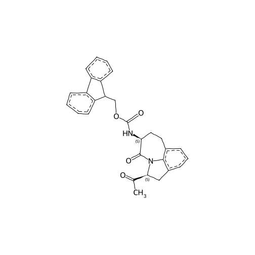 CC(=O)[C@@H]1Cc2cccc3c2N1C(=O)[C@@H](NC(=O)OCC1c2ccccc2-c2ccccc21)CC3